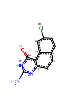 Nc1nc2ccc3ccc(Cl)cc3c2c(=O)[nH]1